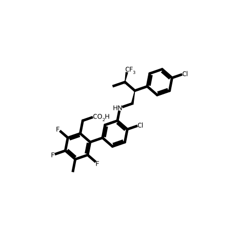 Cc1c(F)c(F)c(CC(=O)O)c(-c2ccc(Cl)c(NC[C@H](c3ccc(Cl)cc3)[C@@H](C)C(F)(F)F)c2)c1F